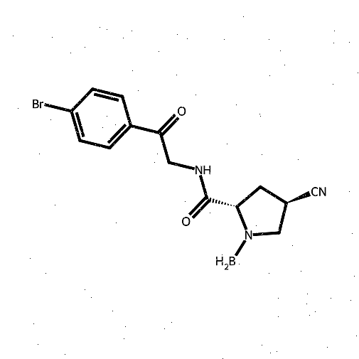 BN1C[C@H](C#N)C[C@H]1C(=O)NCC(=O)c1ccc(Br)cc1